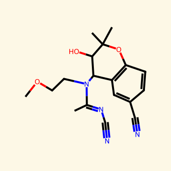 COCCN(C(C)=NC#N)C1c2cc(C#N)ccc2OC(C)(C)C1O